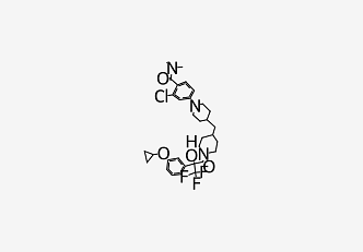 CN(C)C(=O)c1ccc(N2CCC(CC3CCN(C(=O)C(O)(c4cccc(OC5CC5)c4)C(F)(F)F)CC3)CC2)cc1Cl